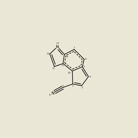 N#CC1=CC=c2ccc3c(c21)C=CN=3